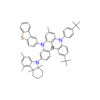 Cc1cc2c3c(c1)N(c1ccc4sc5ccccc5c4c1)c1cc(N4c5cc(C)cc(C)c5C5(C)CCCCC45C)ccc1B3c1cc(C(C)(C)C)ccc1N2c1ccc(C(C)(C)C)cc1